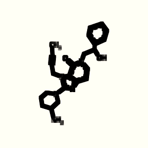 CC#CCn1c(N2CCCC(N)C2)nc2ccn(CC(O)c3ccccc3)c(=O)c21